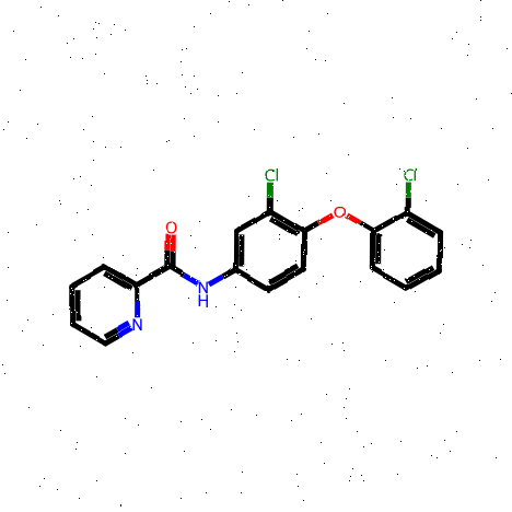 O=C(Nc1ccc(Oc2ccccc2Cl)c(Cl)c1)c1ccccn1